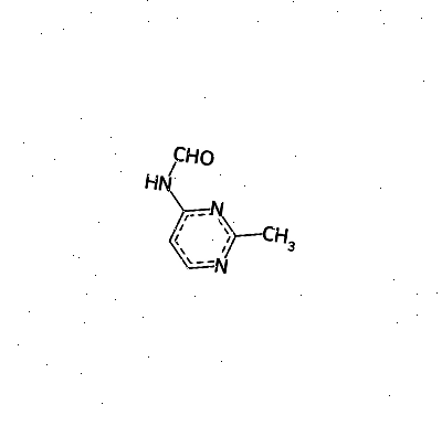 Cc1nccc(NC=O)n1